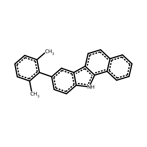 Cc1cccc(C)c1-c1ccc2[nH]c3c4ccccc4ccc3c2c1